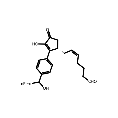 CCCCCC(O)c1ccc(C2=C(O)C(=O)C[C@@H]2C/C=C\CCCC=O)cc1